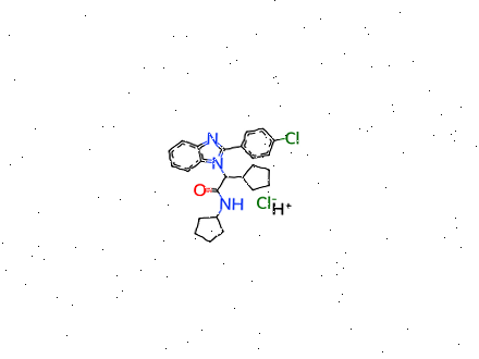 O=C(NC1CCCC1)C(C1CCCC1)n1c(-c2ccc(Cl)cc2)nc2ccccc21.[Cl-].[H+]